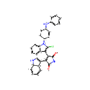 O=C1NC(=O)C(c2c(Cl)n(C3C=C[C@H](Nc4ccccc4)CC3)c3ccccc23)=C1C1=CNC2C=CC=CC12